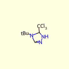 CC(C)(C)N1C=NNC1C(Cl)(Cl)Cl